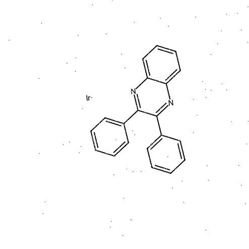 [Ir].c1ccc(-c2nc3ccccc3nc2-c2ccccc2)cc1